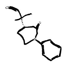 CC(C)(C=O)[C@H]1CCN(c2ccccc2)C1=O